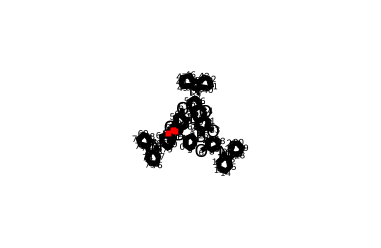 c1ccc2c(c1)Oc1cc(-n3c4ccccc4c4ccccc43)cc3c1B2c1cc2c(cc1O3)Oc1cc(-n3c4ccccc4c4ccccc43)cc3c1B2c1cc2c(cc1O3)Oc1cc(-n3c4ccccc4c4ccccc43)cc3c1B2c1ccccc1O3